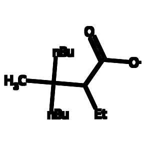 CCCCC(C)(CCCC)C(CC)C([O])=O